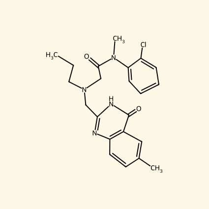 CCCN(CC(=O)N(C)c1ccccc1Cl)Cc1nc2ccc(C)cc2c(=O)[nH]1